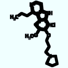 CCCc1nccc2[nH]c3cc(OCCCN4CCCC4)c(OC)cc3c12.Cl